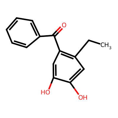 CCc1cc(O)c(O)cc1C(=O)c1ccccc1